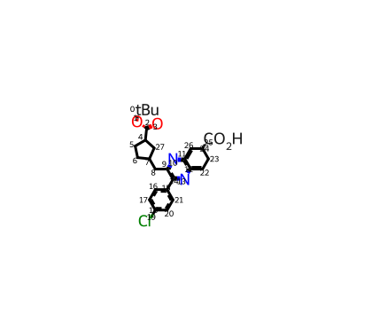 CC(C)(C)OC(=O)C1CCC(Cc2nc3c(nc2-c2ccc(Cl)cc2)=CCC(C(=O)O)C=3)C1